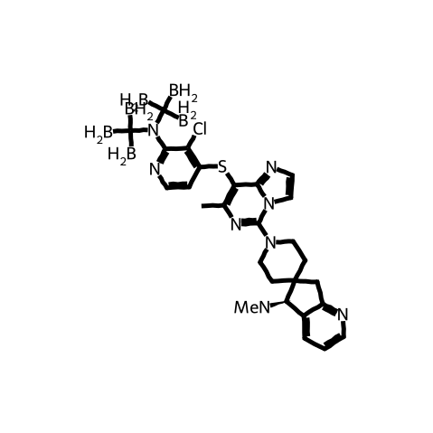 BC(B)(B)N(c1nccc(Sc2c(C)nc(N3CCC4(CC3)Cc3ncccc3[C@H]4NC)n3ccnc23)c1Cl)C(B)(B)B